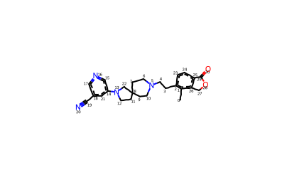 Cc1c(CCN2CCC3(CC2)CCN(c2cncc(C#N)c2)C3)ccc2c1COC2=O